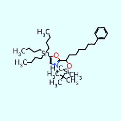 CCC[CH2][Sn]([CH2]CCC)([CH2]CCC)[c]1cnc(C(CCCCCCc2ccccc2)O[Si](C)(C)C(C)(C)C)o1